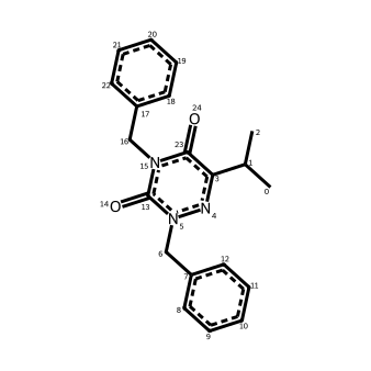 CC(C)c1nn(Cc2ccccc2)c(=O)n(Cc2ccccc2)c1=O